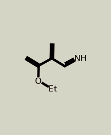 C=C(C=N)C(=C)OCC